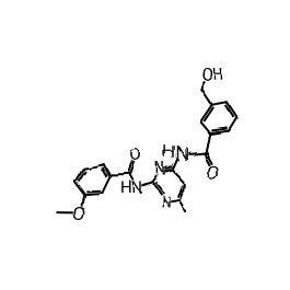 COc1cccc(C(=O)Nc2nc(C)cc(NC(=O)c3cccc(CO)c3)n2)c1